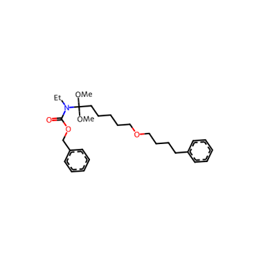 CCN(C(=O)OCc1ccccc1)C(CCCCCOCCCCc1ccccc1)(OC)OC